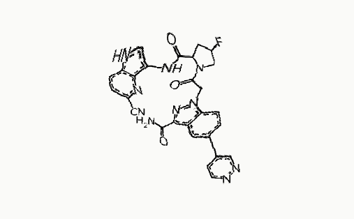 N#Cc1ccc2[nH]cc(NC(=O)C3CC(F)CN3C(=O)Cn3nc(C(N)=O)c4cc(-c5ccnnc5)ccc43)c2n1